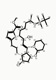 COC(=O)c1ccc(CCC[C@@H]2[C@@H](C=C[C@@H](O)CCCC[C@@H](C)O[Si](C)(C)C(C)(C)C)[C@H](OC3CCCCO3)C[C@H]2Cl)s1